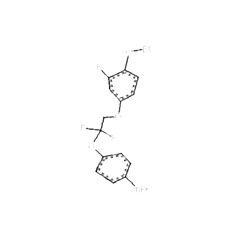 CCCc1ccc(OC(F)(F)COc2ccc(OCC)c(F)c2)cc1